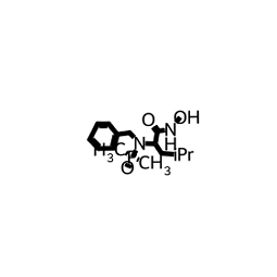 CC(C)CC(C(=O)NO)N(Cc1ccccc1)P(C)(C)=O